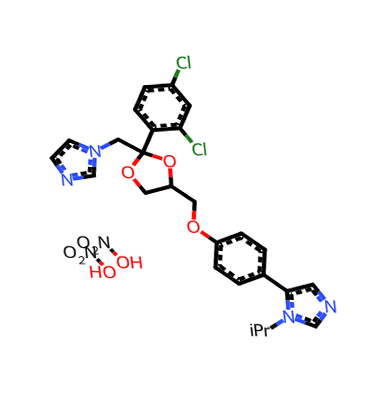 CC(C)n1cncc1-c1ccc(OCC2COC(Cn3ccnc3)(c3ccc(Cl)cc3Cl)O2)cc1.O=[N+]([O-])O.O=[N+]([O-])O